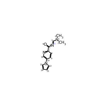 CN(C)/C=N/C(=O)c1ccc(-n2cccc2)cn1